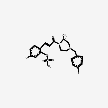 C[C@@H]1CN(Cc2ccc(F)cc2)CCN1C(=O)/C=C/c1ccc(Cl)cc1NS(C)(=O)=O